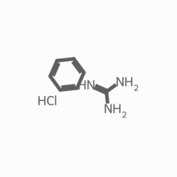 Cl.N=C(N)N.c1ccccc1